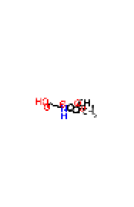 COc1ccc2c(c1OC)CC[C@H](NC(=O)CCCCC(=O)O)C2